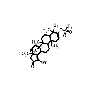 CC(C)C1=C2C3CCC4C5(C)CC=C(OS(=O)(=O)C(F)(F)F)C(C)(C)C5CCC4(C)C3(C)CCC2(C(=O)O)CC1=O